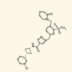 CS(=O)(=O)c1cc(Cn2cc(C(=O)N[C@H]3C[C@@H](c4cccc(Cl)c4)C3)cn2)ccc1Cn1ccccc1=O